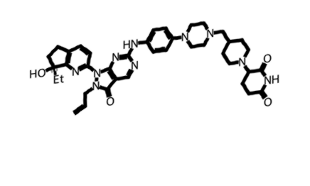 C=CCn1c(=O)c2cnc(Nc3ccc(N4CCN(CC5CCN(C6CCC(=O)NC6=O)CC5)CC4)cc3)nc2n1-c1ccc2c(n1)[C@@](O)(CC)CC2